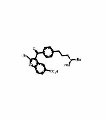 CCCCc1oc2ccc(C(=O)O)cc2c1C(=O)c1ccc(CCCN(CCCC)CCCC)cc1